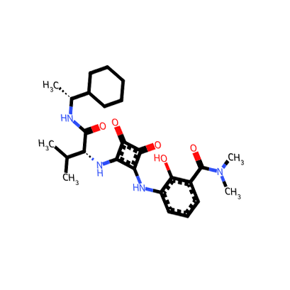 CC(C)[C@@H](Nc1c(Nc2cccc(C(=O)N(C)C)c2O)c(=O)c1=O)C(=O)N[C@H](C)C1CCCCC1